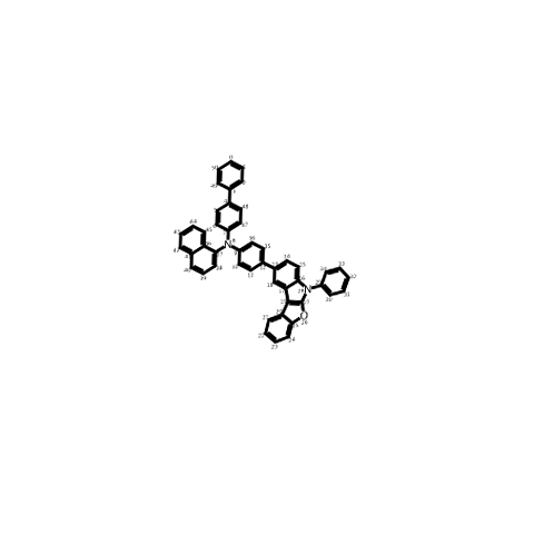 c1ccc(-c2ccc(N(c3ccc(-c4ccc5c(c4)c4c6ccccc6oc4n5-c4ccccc4)cc3)c3cccc4ccccc34)cc2)cc1